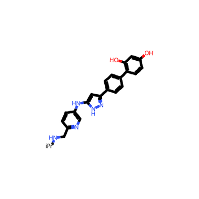 CC(C)NCc1ccc(Nc2cc(-c3ccc(-c4ccc(O)cc4O)cc3)n[nH]2)cn1